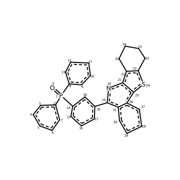 O=P(c1ccccc1)(c1ccccc1)c1cccc(-c2nc3c4c(sc3c3ccccc23)CCCC4)c1